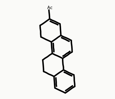 CC(=O)C1=Cc2ccc3c(c2CC1)CCc1ccccc1-3